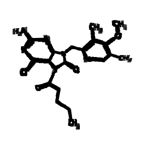 CCCCC(=O)n1c(=O)n(Cc2ncc(C)c(OC)c2C)c2nc(N)nc(Cl)c21